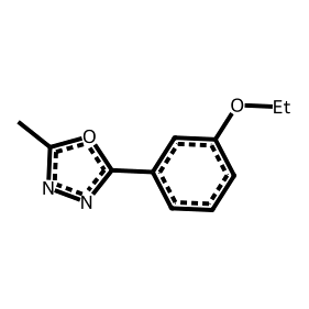 CCOc1cccc(-c2nnc(C)o2)c1